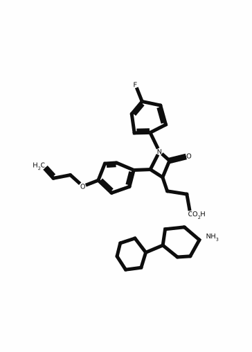 C1CCC(C2CCCCC2)CC1.C=CCOc1ccc(C2C(CCC(=O)O)C(=O)N2c2ccc(F)cc2)cc1.N